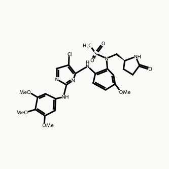 COc1ccc(Nc2nc(Nc3cc(OC)c(OC)c(OC)c3)ncc2Cl)c(N(C[C@@H]2CCC(=O)N2)S(C)(=O)=O)c1